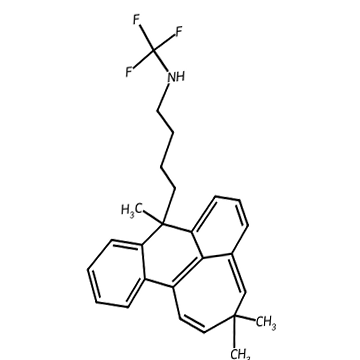 CC1(C)C=CC2=c3c(cccc3=C1)C(C)(CCCCNC(F)(F)F)c1ccccc12